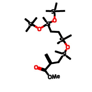 C=C(C[Si](C)(C)O[Si](C)(C)CC[Si](C)(O[Si](C)(C)C)O[Si](C)(C)C)C(=O)OC